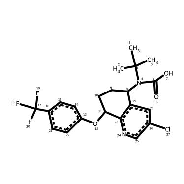 CC(C)(C)N(C(=O)O)C1CCC(Oc2ccc(C(F)(F)F)cc2)c2ncc(Cl)cc21